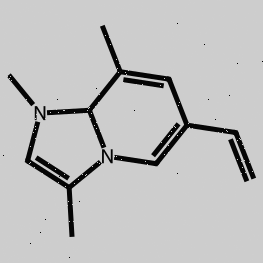 C=CC1=CN2C(C)=CN(C)C2C(C)=C1